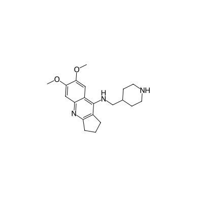 COc1cc2nc3c(c(NCC4CCNCC4)c2cc1OC)CCC3